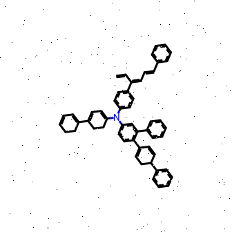 C=C/C(=C\C=C\c1ccccc1)c1ccc(N(C2=CC=C(C3=CC=CCC3)CC2)c2ccc(C3=CCC(c4ccccc4)C=C3)c(-c3ccccc3)c2)cc1